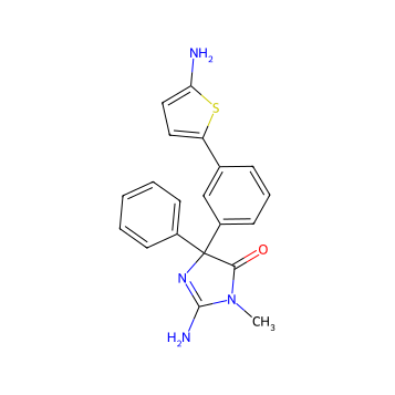 CN1C(=O)C(c2ccccc2)(c2cccc(-c3ccc(N)s3)c2)N=C1N